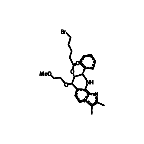 COCCO[C@@H]1c2ccn3c(C)c(C)nc3c2N[C@H](c2ccccc2)[C@H]1OC(=O)CCCCBr